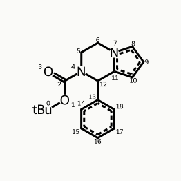 CC(C)(C)OC(=O)N1CCn2cccc2C1c1ccccc1